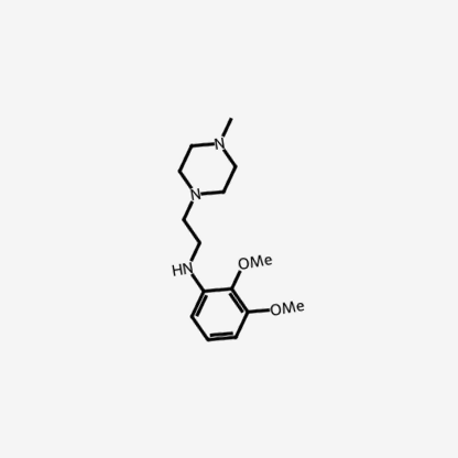 COc1cccc(NCCN2CCN(C)CC2)c1OC